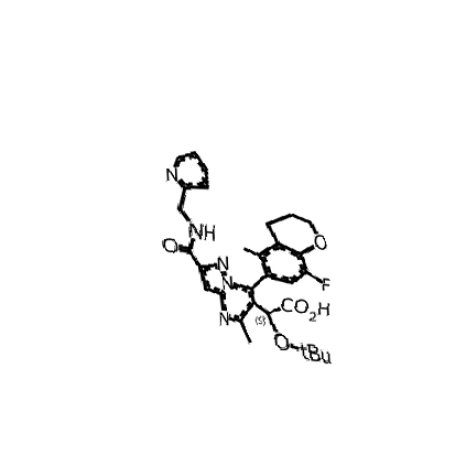 Cc1nc2cc(C(=O)NCc3ccccn3)nn2c(-c2cc(F)c3c(c2C)CCCO3)c1[C@H](OC(C)(C)C)C(=O)O